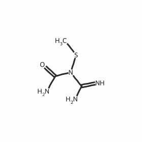 CSN(C(=N)N)C(N)=O